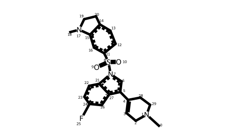 CN1CC=C(c2cn(S(=O)(=O)c3ccc4c(c3)N(C)CC4)c3ccc(F)cc23)CC1